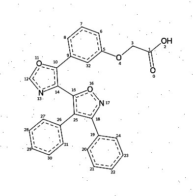 O=C(O)COc1cccc(-c2ocnc2-c2onc(-c3ccccc3)c2-c2ccccc2)c1